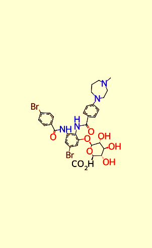 CN1CCCN(c2ccc(C(=O)Nc3c(NC(=O)c4ccc(Br)cc4)cc(Br)cc3O[C@@H]3O[C@H](C(=O)O)[C@@H](O)[C@H](O)[C@H]3O)cc2)CC1